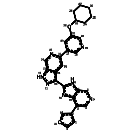 c1cc(-c2cncc3[nH]c(-c4n[nH]c5cnc(-c6cncc(OC7CCCCC7)c6)cc45)nc23)co1